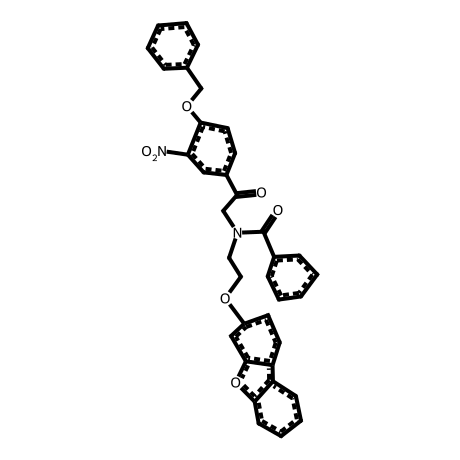 O=C(CN(CCOc1ccc2c(c1)oc1ccccc12)C(=O)c1ccccc1)c1ccc(OCc2ccccc2)c([N+](=O)[O-])c1